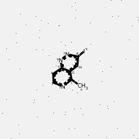 Cc1nccc2nnc(I)cc12